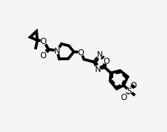 CC1(OC(=O)N2CCC(OCc3noc(-c4ccc(S(C)(=O)=O)cc4)n3)CC2)CC1